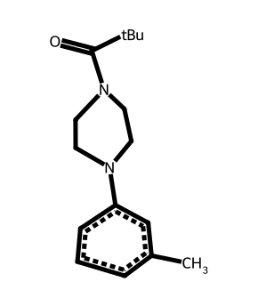 Cc1cccc(N2CCN(C(=O)C(C)(C)C)CC2)c1